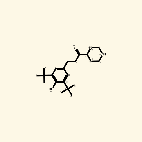 CC(C)(C)c1cc(CCC(=O)C2NCNCN2)cc(C(C)(C)C)c1O